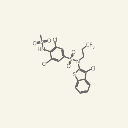 CS(=O)(=O)Nc1c(Cl)cc(S(=O)(=O)N(CCC(F)(F)F)c2sc3ccccc3c2Cl)cc1Cl